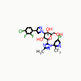 Cc1nc([C@@H]2O[C@H](CO)[C@H](O)[C@H](n3cc(-c4ccc(Cl)c(F)c4F)cn3)[C@H]2O)n(-c2cc(Br)cnc2C(F)(F)F)n1